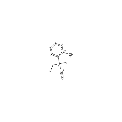 CCC(C)(C#N)c1ccccc1O